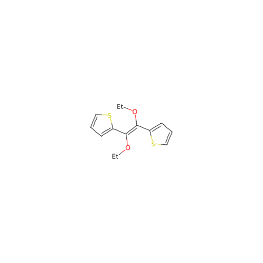 CCO/C(=C(/OCC)c1cccs1)c1cccs1